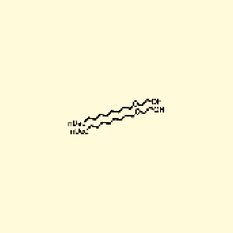 CCCCCCCCCCCCCCCCCCOCCO.CCCCCCCCCCCCCCCCCCOCCO